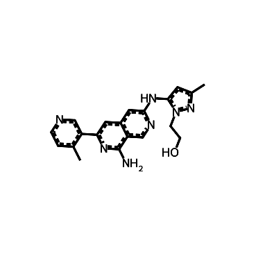 Cc1cc(Nc2cc3cc(-c4cnccc4C)nc(N)c3cn2)n(CCO)n1